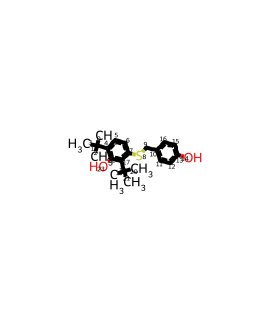 CC(C)(C)c1ccc(SCc2ccc(O)cc2)c(C(C)(C)C)c1O